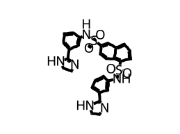 O=S(=O)(Nc1cccc(C2=NCCN2)c1)c1ccc2c(S(=O)(=O)Nc3cccc(C4=NCCN4)c3)cccc2c1